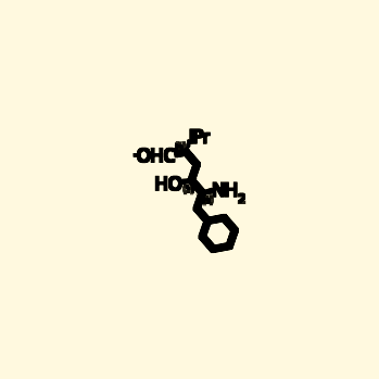 CC(C)[C@@H]([C]=O)C[C@H](O)[C@@H](N)CC1CCCCC1